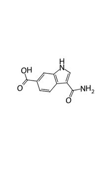 NC(=O)c1c[nH]c2cc(C(=O)O)ccc12